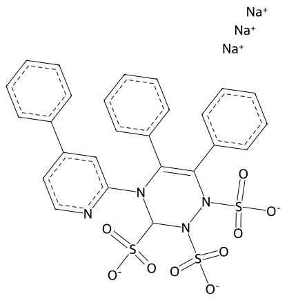 O=S(=O)([O-])C1N(c2cc(-c3ccccc3)ccn2)C(c2ccccc2)=C(c2ccccc2)N(S(=O)(=O)[O-])N1S(=O)(=O)[O-].[Na+].[Na+].[Na+]